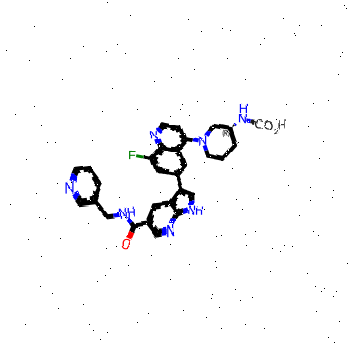 O=C(O)N[C@@H]1CCCN(c2ccnc3c(F)cc(-c4c[nH]c5ncc(C(=O)NCc6cccnc6)cc45)cc23)C1